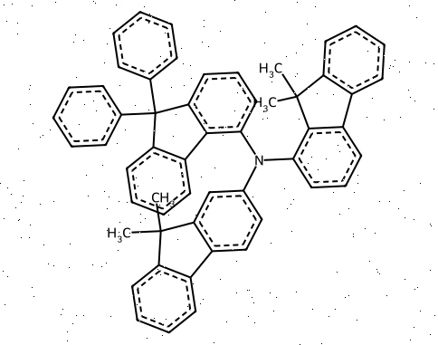 CC1(C)c2ccccc2-c2ccc(N(c3cccc4c3-c3ccccc3C4(c3ccccc3)c3ccccc3)c3cccc4c3C(C)(C)c3ccccc3-4)cc21